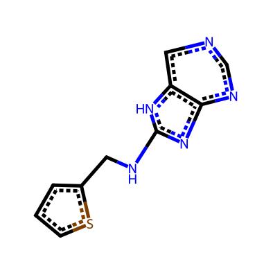 c1csc(CNc2nc3ncncc3[nH]2)c1